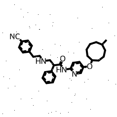 CC1CCCCC(Oc2ccc(NC(=O)C(CNCCc3ccc(C#N)cc3)c3ccccc3)nc2)CCC1